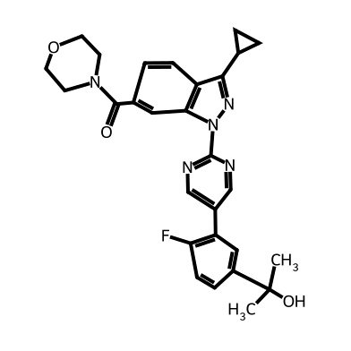 CC(C)(O)c1ccc(F)c(-c2cnc(-n3nc(C4CC4)c4ccc(C(=O)N5CCOCC5)cc43)nc2)c1